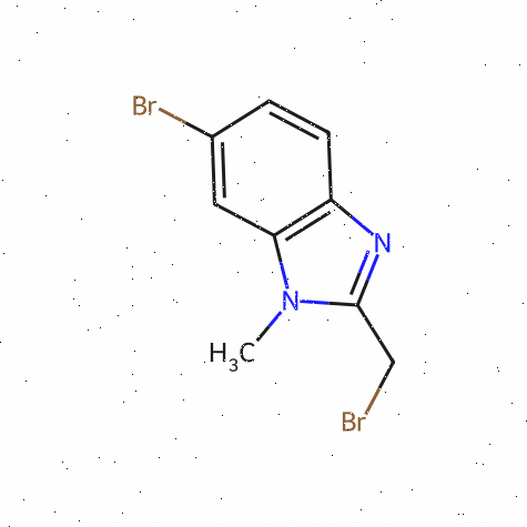 Cn1c(CBr)nc2ccc(Br)cc21